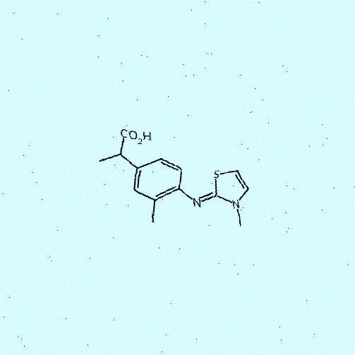 Cc1cc(C(C)C(=O)O)ccc1N=c1sccn1C